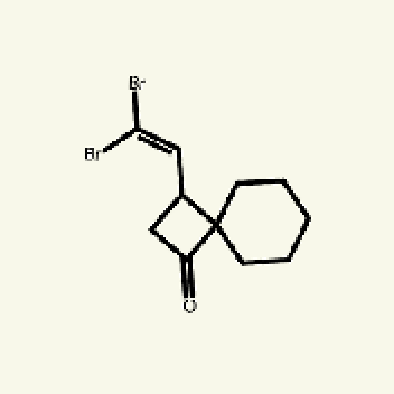 O=C1CC(C=C(Br)Br)C12CCCCC2